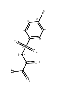 O=C(Cl)C(=O)NS(=O)(=O)c1ccc(F)cc1